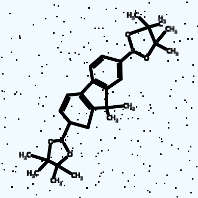 CC1(C)C2=C(C=CC(B3OC(C)(C)C(C)(C)O3)C2)c2ccc(B3OC(C)(C)C(C)(C)O3)cc21